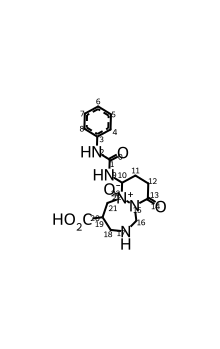 O=C(Nc1ccccc1)NC1CCC(=O)N2CNCC(C(=O)O)C[N+]12[O-]